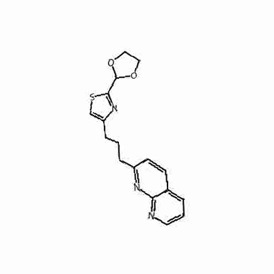 c1cnc2nc(CCCc3csc(C4OCCO4)n3)ccc2c1